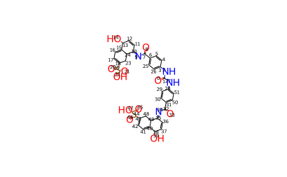 O=C(Nc1ccc(C(=O)N=C2C=CC(O)C3=CC=C(S(=O)(=O)O)CC32)cc1)Nc1ccc(C(=O)N=C2C=CC(O)C3=CC=C(S(=O)(=O)O)CC32)cc1